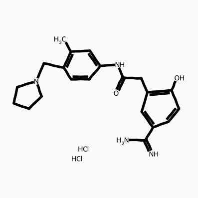 Cc1cc(NC(=O)Cc2cc(C(=N)N)ccc2O)ccc1CN1CCCC1.Cl.Cl